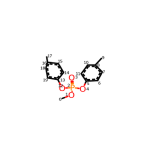 COP(=O)(Oc1ccc(C)cc1)Oc1ccc(C)cc1